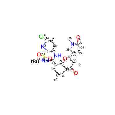 Cc1cc(C(C)Nc2ccc(Cl)nc2S(=O)(=O)NC(C)(C)C)c2oc(-c3ccc(=O)n(C)c3)c(C)c(=O)c2c1